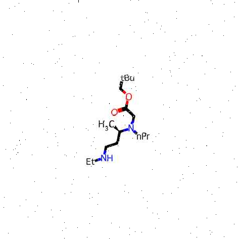 CCCN(CC(=O)OCC(C)(C)C)[C@H](C)CCNCC